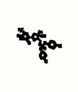 CC(=O)[C@]1(O)C[C@H](n2cc(C(F)(F)F)c(=O)[nH]c2=O)O[C@@H]1COP(=O)(Oc1ccc(Cl)cc1)Oc1ccc(Cl)cc1